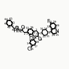 O=C(Cc1ccc(CC(C(=O)Nc2ccc(Cl)cc2)[C@H]2CC[C@@H](c3ccnc4ccc(F)cc43)CC2)cc1)NOCc1ccccc1